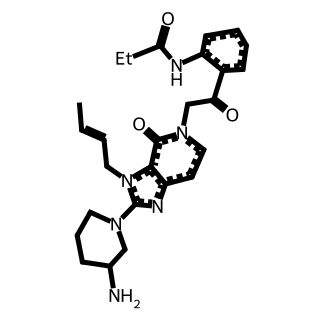 C/C=C/Cn1c(N2CCCC(N)C2)nc2ccn(CC(=O)c3ccccc3NC(=O)CC)c(=O)c21